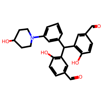 O=Cc1ccc(O)c(C(c2cccc(N3CCC(O)CC3)c2)c2cc(C=O)ccc2O)c1